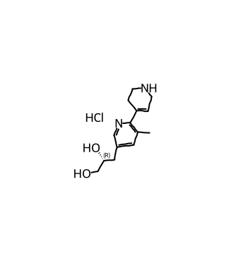 Cc1cc(C[C@@H](O)CO)cnc1C1=CCNCC1.Cl